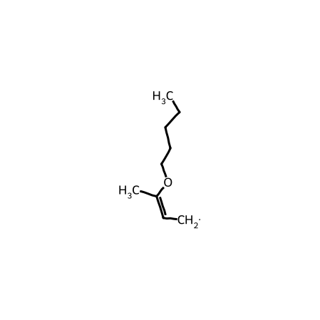 [CH2]C=C(C)OCCCCC